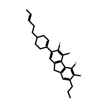 C/C=C/CCC1CC=C(c2cc3c(c(F)c2F)-c2c(cc(CCC)c(F)c2F)C3)CC1